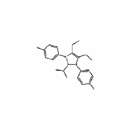 CCC1=C(CC)N(c2ccc(C)cc2)C(C(C)C)N1c1ccc(C)cc1